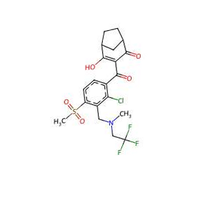 CN(Cc1c(S(C)(=O)=O)ccc(C(=O)C2=C(O)C3CCC(C3)C2=O)c1Cl)CC(F)(F)F